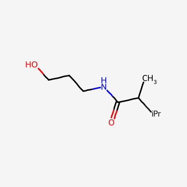 CC(C)C(C)C(=O)NCCCO